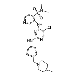 CN1CCN(Cc2ccc(Nc3ncc(Cl)c(Nc4cnccc4S(=O)(=O)N(C)C)n3)cc2)CC1